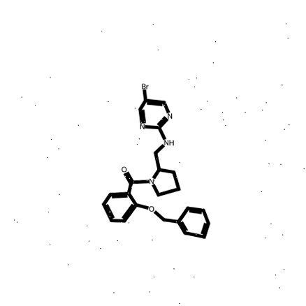 O=C(c1ccccc1OCc1ccccc1)N1CCCC1CNc1ncc(Br)cn1